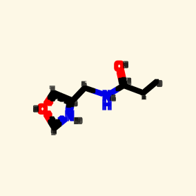 CCC(=O)NCc1cocn1